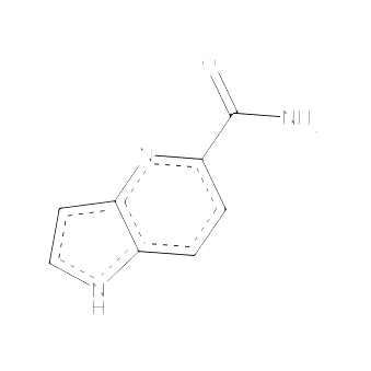 NC(=O)c1ccc2[nH]ccc2n1